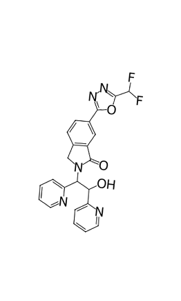 O=C1c2cc(-c3nnc(C(F)F)o3)ccc2CN1C(c1ccccn1)C(O)c1ccccn1